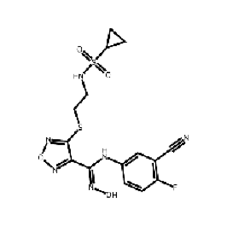 N#Cc1cc(N/C(=N\O)c2nonc2SCCNS(=O)(=O)C2CC2)ccc1F